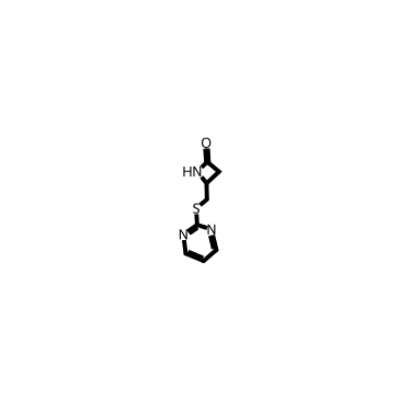 O=C1CC(CSc2ncccn2)N1